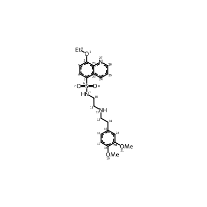 CCOc1ccc(S(=O)(=O)NCCNCCc2ccc(OC)c(OC)c2)c2cccnc12